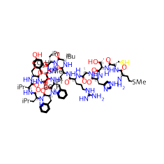 CC[C@H](C)[C@H](NC(=O)[C@H](CC(C)C)NC(=O)[C@H](CCCNC(=N)N)NC(=O)[C@H](C)NC(=O)[C@H](Cc1c[nH]cn1)NC(=O)[C@@H](NC(=O)[C@H](CS)NC(=O)[C@@H](N)CCSC)[C@@H](C)O)C(=O)N[C@@H](CC(C)C)C(=O)N[C@@H](Cc1ccc(O)cc1)C(=O)N[C@@H](Cc1ccccc1)C(=O)N[C@@H](Cc1ccccc1)C(=O)N[C@@H](CC(C)C)C(=O)N[C@H](C(=O)N[C@@H](CCC(=O)O)C(=O)N[C@@H](CCSC)C(=O)O)C(C)C